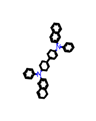 C1=Cc2cc(N(c3ccccc3)C3CC=C(C4=CC=C(N(c5ccccc5)c5ccc6ccccc6c5)CC4)CC3)ccc2CC1